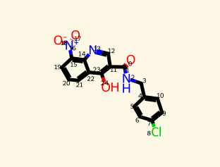 O=C(NCc1ccc(Cl)cc1)c1cnc2c([N+](=O)[O-])cccc2c1O